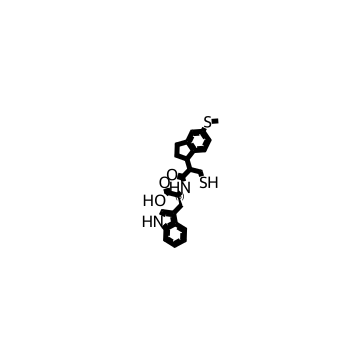 CSc1ccc2c(c1)CCC2C(CS)C(=O)N[C@@H](Cc1c[nH]c2ccccc12)C(=O)O